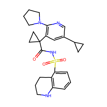 O=C(NS(=O)(=O)c1cccc2c1CCCN2)C1(c2cc(C3CC3)cnc2N2CCCC2)CC1